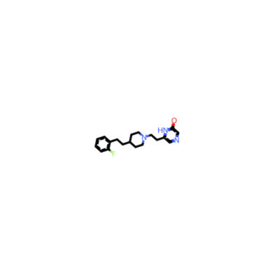 O=c1cncc(CCN2CCC(CCc3ccccc3F)CC2)[nH]1